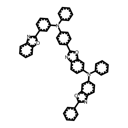 c1ccc(-c2nc3ccc(N(c4ccccc4)c4ccc5nc(-c6ccc(N(c7ccccc7)c7cccc(-c8nc9ccccc9o8)c7)cc6)oc5c4)cc3o2)cc1